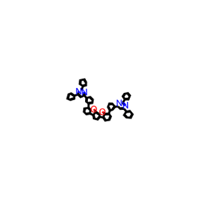 c1ccc(-c2cc(-c3cccc(-c4cccc5c4oc4c5ccc5c6cccc(-c7cccc(-c8cc(-c9ccccc9)nc(-c9ccccc9)n8)c7)c6oc54)c3)nc(-c3ccccc3)n2)cc1